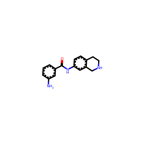 Nc1cccc(C(=O)Nc2ccc3c(c2)CNCC3)c1